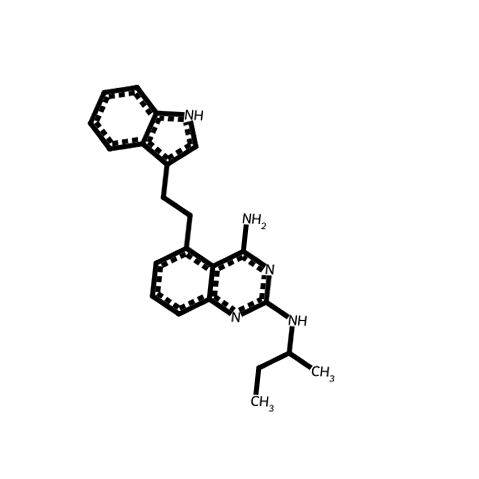 CCC(C)Nc1nc(N)c2c(CCc3c[nH]c4ccccc34)cccc2n1